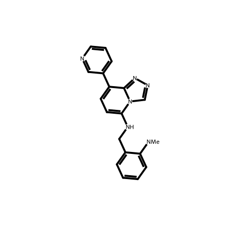 CNc1ccccc1CNc1ccc(-c2cccnc2)c2nncn12